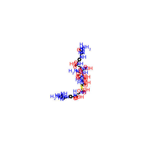 CC(C)(SSC[C@H](NC(=O)CC[C@H](NC(=O)c1ccc(NCc2cnc3nc(N)[nH]c(=N)c3n2)cc1)C(=O)O)C(=O)O)[C@H](NC(=O)[C@H](CC(=O)O)NC(=O)[C@H](CC(=O)O)NC(=O)[C@H](CCCNN)NC(=O)[C@H](CC(=O)O)NC(=O)CC[C@H](NC(=O)c1ccc(NCc2cnc3nc(N)[nH]c(=O)c3n2)cc1)C(=O)O)C(=O)O